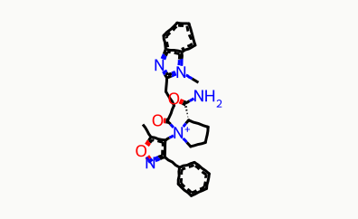 Cc1onc(-c2ccccc2)c1[N+]1(C(=O)CCc2nc3ccccc3n2C)CCC[C@H]1C(N)=O